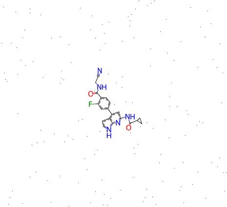 N#CCNC(=O)c1ccc(-c2cc(NC(=O)C3CC3)nc3[nH]ccc23)cc1F